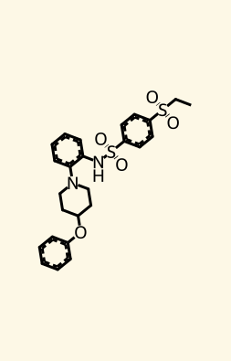 CCS(=O)(=O)c1ccc(S(=O)(=O)Nc2ccccc2N2CCC(Oc3ccccc3)CC2)cc1